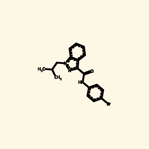 C[C](C)Cn1nc(C(=O)Nc2ccc(Br)cc2)c2ccccc21